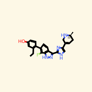 CCc1cc(O)ccc1-c1ccc2c(-c3nc(C4=CC[C@H](C)NC4)c[nH]3)n[nH]c2c1F